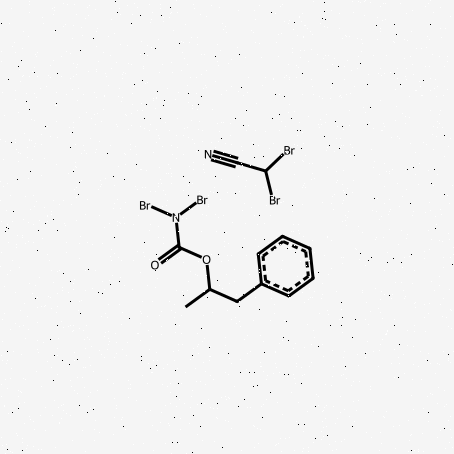 CC(Cc1ccccc1)OC(=O)N(Br)Br.N#CC(Br)Br